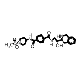 CS(=O)(=O)N1CCC(NC(=O)c2ccc(C(=O)NC[C@@H](O)[C@@H]3Cc4ccccc4CN3)cc2)CC1